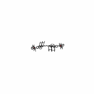 O=C(NCCCCCCNC(=O)NC1CCC(CCN2[C@@H]3CC[C@H]2c2ccccc23)CC1)NC1CCC(CCN2[C@@H]3CC[C@H]2c2ccccc23)CC1